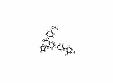 Cc1ccc(C(=O)N2N=C(c3ccc(-n4cn[nH]c4=O)cc3)CC2c2ccco2)cc1